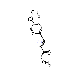 CCC(=O)/C=C/c1ccc(OC)cc1